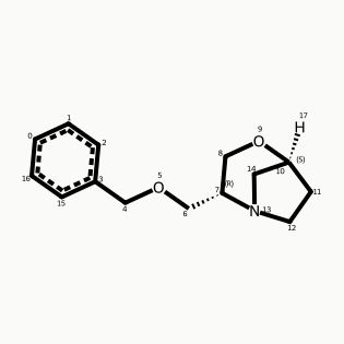 c1ccc(COC[C@@H]2CO[C@H]3CCN2C3)cc1